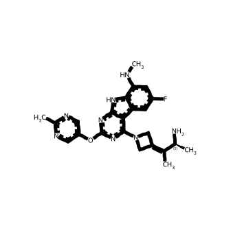 CNc1cc(F)cc2c1[nH]c1nc(Oc3cnc(C)nc3)nc(N3CC(=C(C)[C@H](C)N)C3)c12